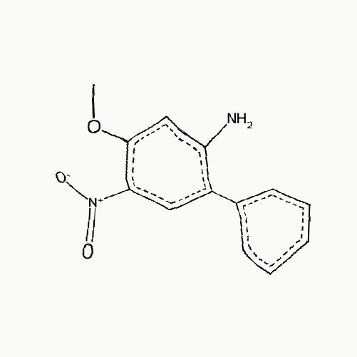 COc1cc(N)c(-c2ccccc2)cc1[N+](=O)[O-]